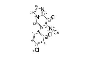 [C-]#[N+]c1c(-c2ccc(Cl)cc2Cl)cn2ccnc2c1Cl